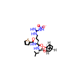 CC(C)C[C@H](NC(=O)[C@H](CCCNC(=N)N[N+](=O)[O-])NC(=O)c1cccs1)B1O[C@@H]2C[C@@H]3C[C@@H](C3(C)C)[C@]2(C)O1